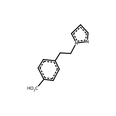 O=C(O)c1ccc(CCn2cccn2)cc1